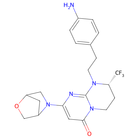 Nc1ccc(CCN2c3nc(N4CC5CC4CO5)cc(=O)n3CC[C@H]2C(F)(F)F)cc1